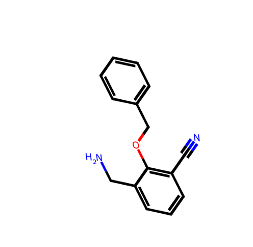 N#Cc1cccc(CN)c1OCc1ccccc1